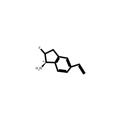 C=Cc1ccc2c(c1)CC(F)[C@@H]2N